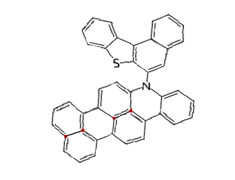 c1ccc(-c2ccc(-c3ccccc3N(c3ccc(-c4ccccc4)cc3)c3cc4ccccc4c4c3sc3ccccc34)cc2)cc1